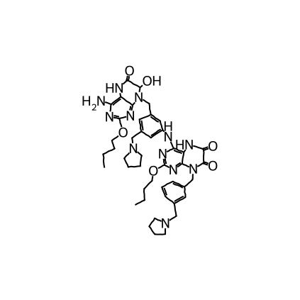 CCCCOc1nc(N)c2c(n1)N(Cc1cc(CN3CCCC3)cc(Nc3nc(OCCCC)nc4c3[nH]c(=O)c(=O)n4Cc3cccc(CN4CCCC4)c3)c1)C(O)C(=O)N2